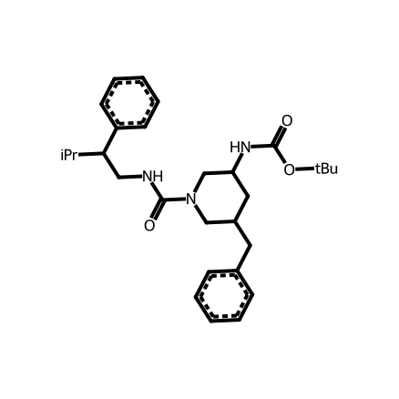 CC(C)C(CNC(=O)N1CC(Cc2ccccc2)CC(NC(=O)OC(C)(C)C)C1)c1ccccc1